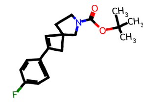 CC(C)(C)OC(=O)N1CCC2(C=C(c3ccc(F)cc3)C2)C1